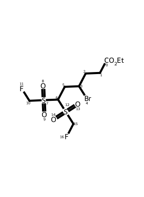 CCOC(=O)CCC(Br)CC(S(=O)(=O)CF)S(=O)(=O)CF